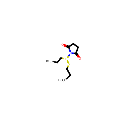 O=C(O)CCS[SH](CCC(=O)O)N1C(=O)CCC1=O